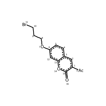 CC(=O)c1cc2ccc(OCCCBr)cc2oc1=O